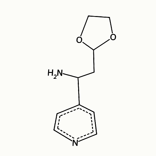 NC(CC1OCCO1)c1ccncc1